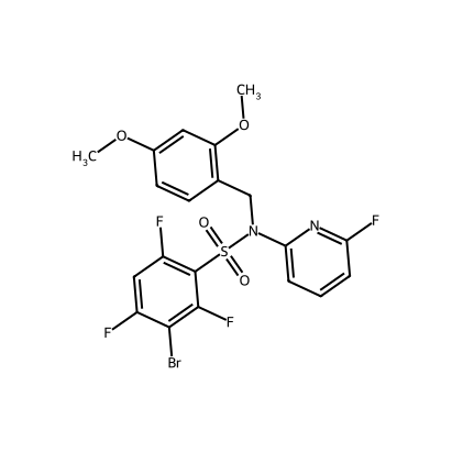 COc1ccc(CN(c2cccc(F)n2)S(=O)(=O)c2c(F)cc(F)c(Br)c2F)c(OC)c1